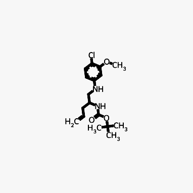 C=CCC(CNc1ccc(Cl)c(OC)c1)NC(=O)OC(C)(C)C